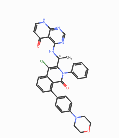 C[C@H](Nc1ncnc2[nH]ccc(=O)c12)c1c(Cl)c2cccc(-c3ccc(N4CCOCC4)cc3)c2c(=O)n1-c1ccccc1